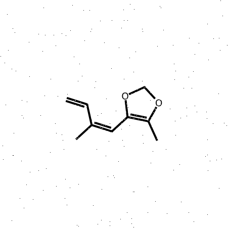 C=C/C(C)=C\C1=C(C)OCO1